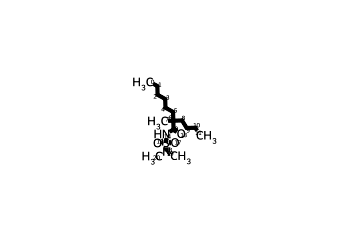 CCCCCCC(C)(CCCC)C(=O)NS(=O)(=O)N(C)C